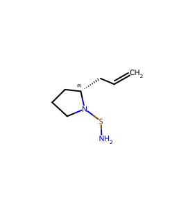 C=CC[C@H]1CCCN1SN